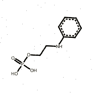 O=P(O)(O)OCCNc1ccccc1